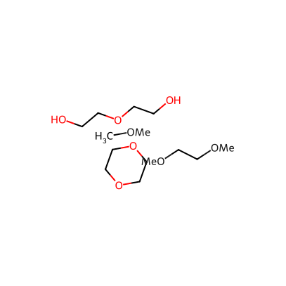 C1COCCO1.COC.COCCOC.OCCOCCO